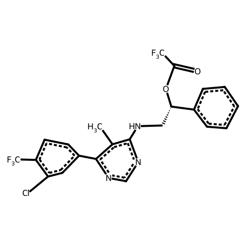 Cc1c(NC[C@H](OC(=O)C(F)(F)F)c2ccccc2)ncnc1-c1ccc(C(F)(F)F)c(Cl)c1